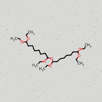 CCOC(CCCCCCC(OCC)OC(CCCCCCC(OCC)OCC)OCC)OCC